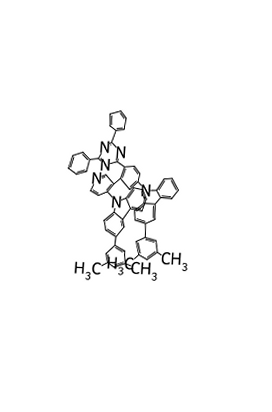 Cc1cc(C)cc(-c2ccc3c(c2)c2ccccc2n3-c2ccc(-c3nc(-c4ccccc4)nc(-c4ccccc4)n3)c(-c3cnccc3-n3c4ccccc4c4cc(-c5cc(C)cc(C)c5)ccc43)c2)c1